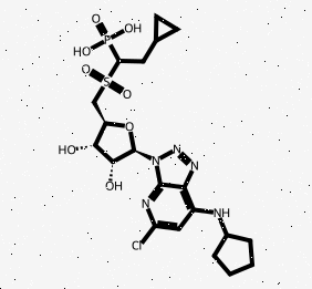 O=P(O)(O)C(CC1CC1)S(=O)(=O)C[C@H]1O[C@@H](n2nnc3c(NC4CCCC4)cc(Cl)nc32)[C@H](O)[C@@H]1O